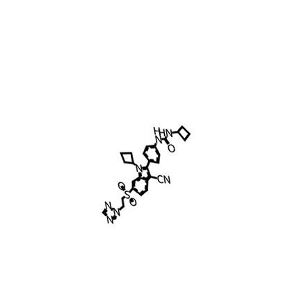 N#Cc1c(-c2ccc(NC(=O)NC3CCC3)cc2)n(C2CCC2)c2cc(S(=O)(=O)CCn3cncn3)ccc12